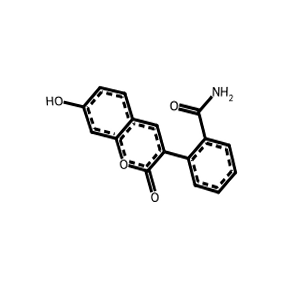 NC(=O)c1ccccc1-c1cc2ccc(O)cc2oc1=O